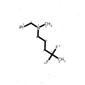 CC(C)CN(C)CCCC(C)(F)F